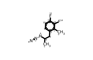 Cc1c(CC(C)N=[N+]=[N-])ccc(F)c1F